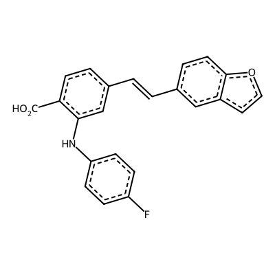 O=C(O)c1ccc(C=Cc2ccc3occc3c2)cc1Nc1ccc(F)cc1